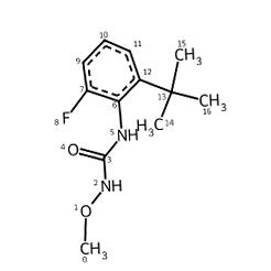 CONC(=O)Nc1c(F)cccc1C(C)(C)C